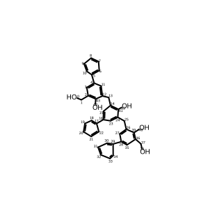 OCc1cc(-c2ccccc2)cc(Cc2cc(-c3ccccc3)cc(Cc3cc(-c4ccccc4)cc(CO)c3O)c2O)c1O